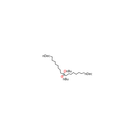 CCCCCCCCCCCCCCCCCC[Si](CCCCCCCCCCCCCCCCCC)(OCCCC)OCCCC